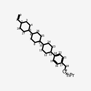 C=CC1CCC(C2CCC(C3CCC(c4ccc(COCCC)cc4)CC3)CC2)CC1